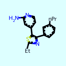 CCCc1cccc(-c2nc(CC)sc2-c2ccnc(N)c2)c1